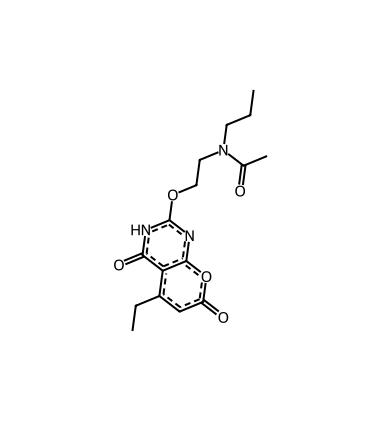 CCCN(CCOc1nc2oc(=O)cc(CC)c2c(=O)[nH]1)C(C)=O